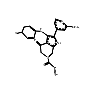 CC(=O)Nc1cc(-c2[nH]c3c(c2NC2=CCC(F)C=C2)C(=O)CN(C(=O)OC(C)C)C3)ccn1